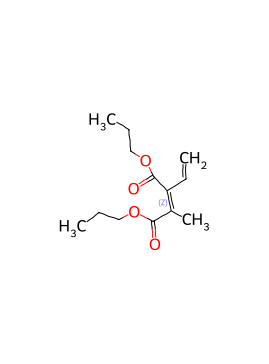 C=C/C(C(=O)OCCC)=C(\C)C(=O)OCCC